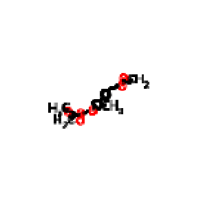 C=CC(=O)OCCCc1ccc(-c2ccc(OCCOC(=O)C(=C)COC)cc2C)cc1